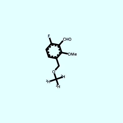 [2H]C([2H])([2H])OCc1ccc(F)c(C=O)c1OC